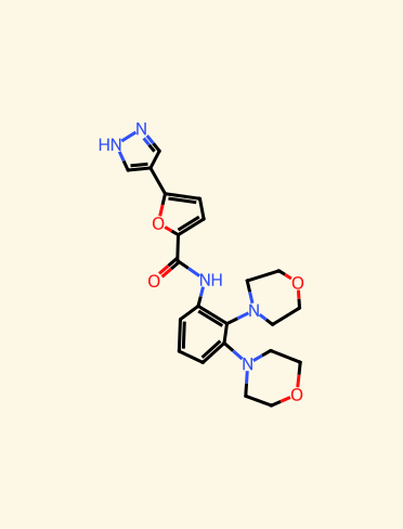 O=C(Nc1cccc(N2CCOCC2)c1N1CCOCC1)c1ccc(-c2cn[nH]c2)o1